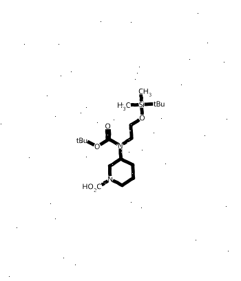 CC(C)(C)OC(=O)N(CCO[Si](C)(C)C(C)(C)C)C1CCCN(C(=O)O)C1